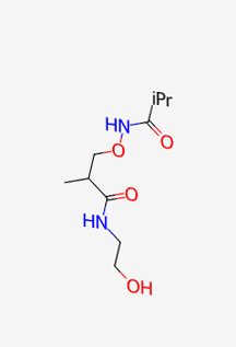 CC(C)C(=O)NOCC(C)C(=O)NCCO